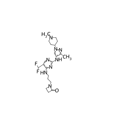 Cc1nn(C2CCN(C)CC2)cc1Nc1ncc(C(F)F)c(NCCCN2CCC2=O)n1